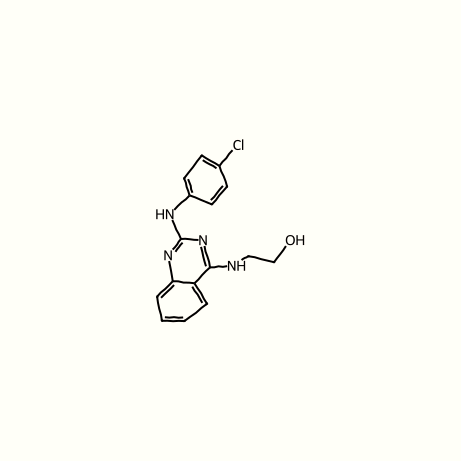 OCCNc1nc(Nc2ccc(Cl)cc2)nc2ccccc12